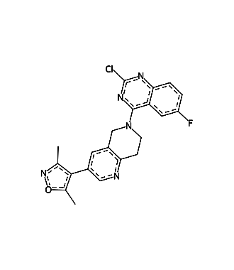 Cc1noc(C)c1-c1cnc2c(c1)CN(c1nc(Cl)nc3ccc(F)cc13)CC2